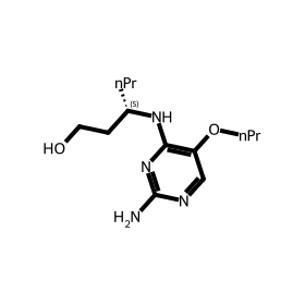 CCCOc1cnc(N)nc1N[C@@H](CCC)CCO